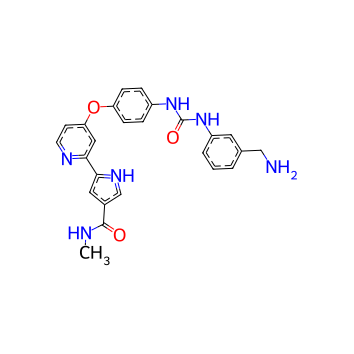 CNC(=O)c1c[nH]c(-c2cc(Oc3ccc(NC(=O)Nc4cccc(CN)c4)cc3)ccn2)c1